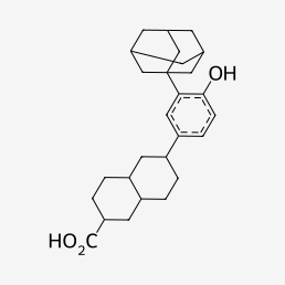 O=C(O)C1CCC2CC(c3ccc(O)c(C45CC6CC(CC(C6)C4)C5)c3)CCC2C1